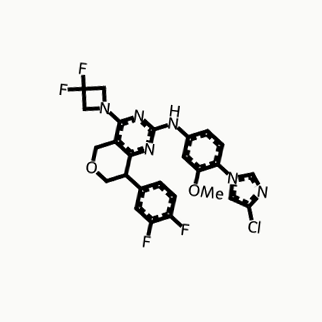 COc1cc(Nc2nc3c(c(N4CC(F)(F)C4)n2)COCC3c2ccc(F)c(F)c2)ccc1-n1cnc(Cl)c1